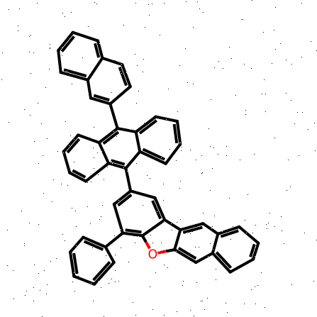 c1ccc(-c2cc(-c3c4ccccc4c(-c4ccc5ccccc5c4)c4ccccc34)cc3c2oc2cc4ccccc4cc23)cc1